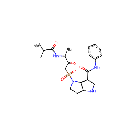 CNC(C)C(=O)NC(C(=O)CS(=O)(=O)N1CCC2NCC(C(=O)Nc3ccccc3)C21)C(C)(C)C